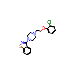 Clc1ccccc1OCCN1CCN(c2nsc3ccccc23)CC1